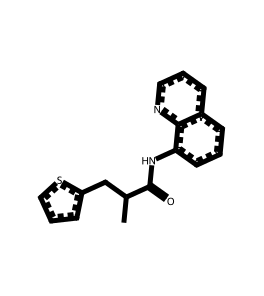 CC(Cc1cccs1)C(=O)Nc1cccc2cccnc12